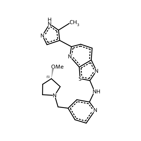 CO[C@H]1CCN(Cc2ccnc(Nc3nc4ccc(-c5cn[nH]c5C)nc4s3)c2)C1